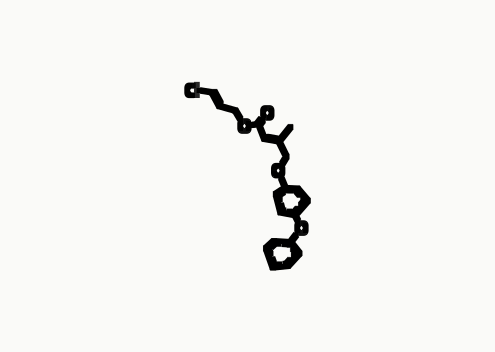 CC(=CC(=O)OCC=CCl)COc1ccc(Oc2ccccc2)cc1